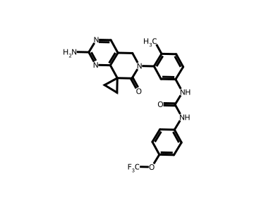 Cc1ccc(NC(=O)Nc2ccc(OC(F)(F)F)cc2)cc1N1Cc2cnc(N)nc2C2(CC2)C1=O